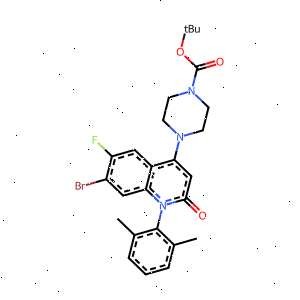 Cc1cccc(C)c1-n1c(=O)cc(N2CCN(C(=O)OC(C)(C)C)CC2)c2cc(F)c(Br)cc21